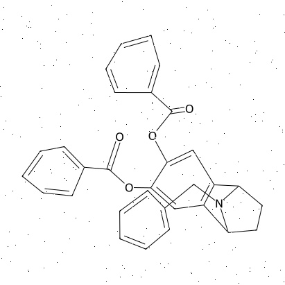 O=C(Oc1cc2c(cc1OC(=O)c1ccccc1)C1CCC2N1Cc1ccccc1)c1ccccc1